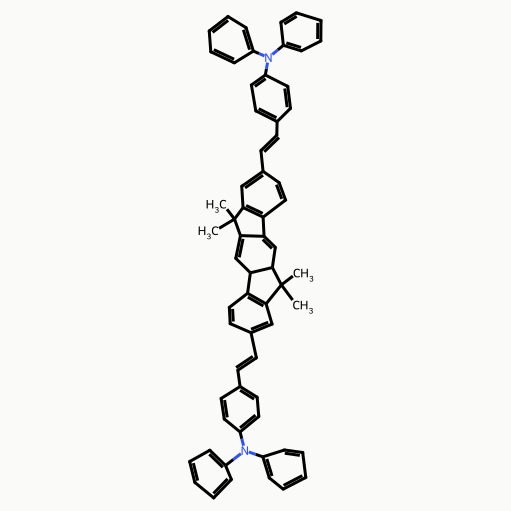 CC1(C)C2=CC3c4ccc(/C=C/c5ccc(N(c6ccccc6)c6ccccc6)cc5)cc4C(C)(C)C3C=C2c2ccc(/C=C/c3ccc(N(c4ccccc4)c4ccccc4)cc3)cc21